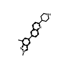 Cc1cc(-c2ccc3nc(C4CCNCC4)ccc3c2)cc2cn(C)nc12